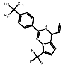 CC(C)(O)c1ccc(C2=Nn3c(ccc3C(F)(F)F)C(C=O)N2)cc1